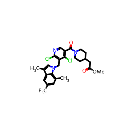 COC(=O)CC1CCN(C(=O)c2cnc(Cl)c(Cn3cc(C)c4cc(C(F)(F)F)cc(C)c43)c2Cl)CC1